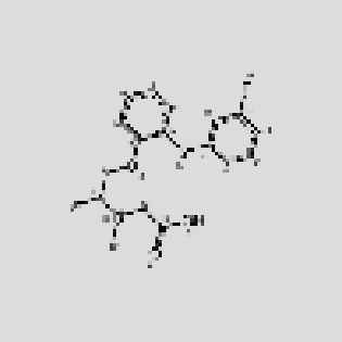 C[C@@H](COc1ccccc1Sc1cccc(F)c1)N(C)CC(=O)O